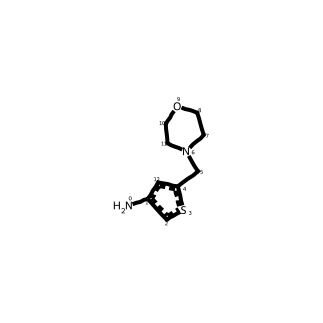 Nc1csc(CN2CCOCC2)c1